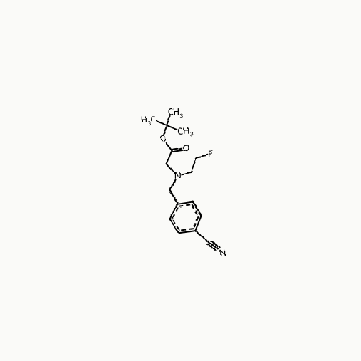 CC(C)(C)OC(=O)CN(CCF)Cc1ccc(C#N)cc1